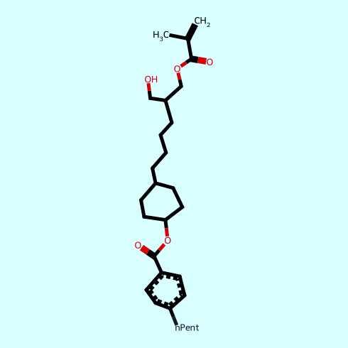 C=C(C)C(=O)OCC(CO)CCCCC1CCC(OC(=O)c2ccc(CCCCC)cc2)CC1